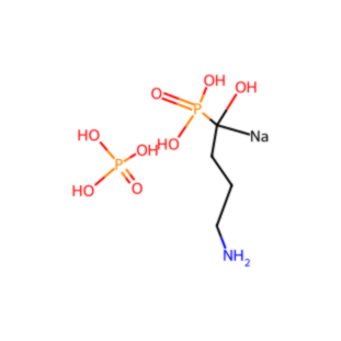 NCCC[C](O)([Na])P(=O)(O)O.O=P(O)(O)O